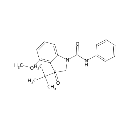 COc1cccc2c1P(=O)(C(C)(C)C)CN2C(=O)Nc1ccccc1